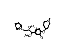 CN1CCC(Oc2ccc([C@@H](O)[C@H](N)CN3CCCC3)cc2Cl)CC1